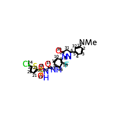 CNc1cccc(C2=NN(c3ccc(NC(=O)NS(=O)(=O)c4ccc(Cl)s4)cc3F)C(=O)C2)c1